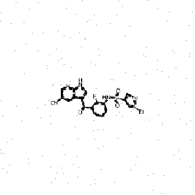 [C-]#[N+]c1cnc2[nH]cc(C(=O)c3cccc(NS(=O)(=O)c4cnn(CC)c4)c3F)c2c1